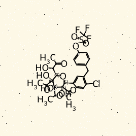 CC(=O)C(O)[C@H]1O[C@@H](c2ccc(Cl)c(Cc3ccc(OS(=O)(=O)C(F)(F)F)cc3)c2)[C@@](O)(C(C)=O)[C@](O)(C(C)=O)[C@@]1(O)C(C)=O